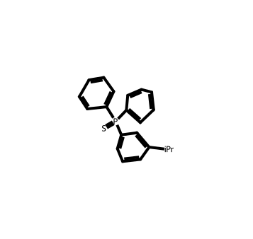 CC(C)c1cccc(P(=S)(c2ccccc2)c2ccccc2)c1